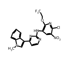 Cn1cc(-c2ccnc(Nc3cc([N+](=O)[O-])c(Cl)nc3OCC(F)(F)F)n2)c2ccccc21